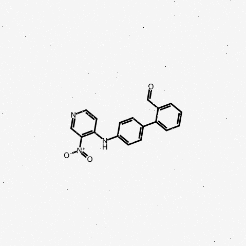 O=Cc1ccccc1-c1ccc(Nc2ccncc2[N+](=O)[O-])cc1